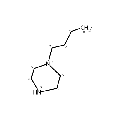 [CH2]CCCN1CCNCC1